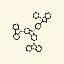 c1ccc(-c2c(-c3ccc(-n4c5ccc(-n6c7ccccc7c7ccccc76)cc5c5cc(-n6c7ccccc7c7ccccc76)ccc54)cc3)nc3ccccn23)cc1